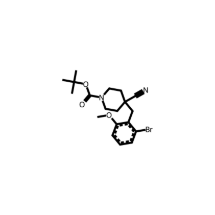 COc1cccc(Br)c1CC1(C#N)CCN(C(=O)OC(C)(C)C)CC1